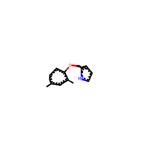 Cc1ccc(Oc2ccc[nH]2)c(C)c1